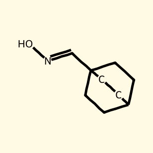 O/N=C/C12CCC(CC1)CC2